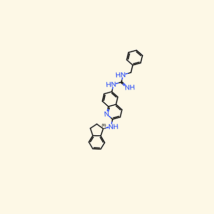 N=C(NCc1ccccc1)Nc1ccc2nc(N[C@@H]3CCc4ccccc43)ccc2c1